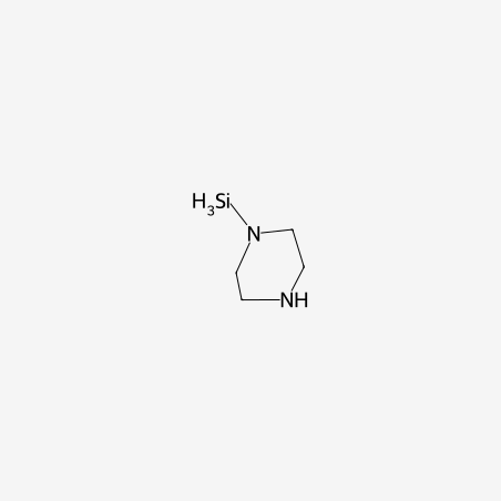 [SiH3]N1CCNCC1